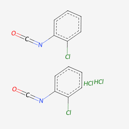 Cl.Cl.O=C=Nc1ccccc1Cl.O=C=Nc1ccccc1Cl